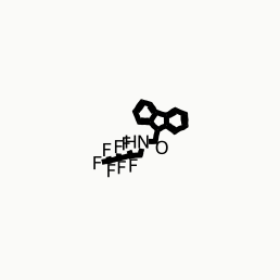 O=C(NCC(F)(F)C(F)(F)C(F)(F)F)C1c2ccccc2-c2ccccc21